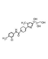 Cc1ccc(NC(=O)N2CC=C(c3ncc([C@H](O)[C@@H](O)CO)cc3C)CC2)cc1Cl